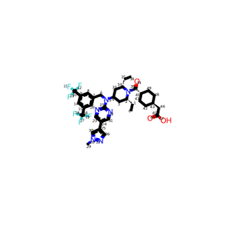 CC[C@@H]1CC(N(Cc2cc(C(F)(F)F)cc(C(F)(F)F)c2)c2ncc(-c3cnn(C)c3)cn2)C[C@H](CC)N1C(=O)[C@H]1CC[C@H](CC(=O)O)CC1